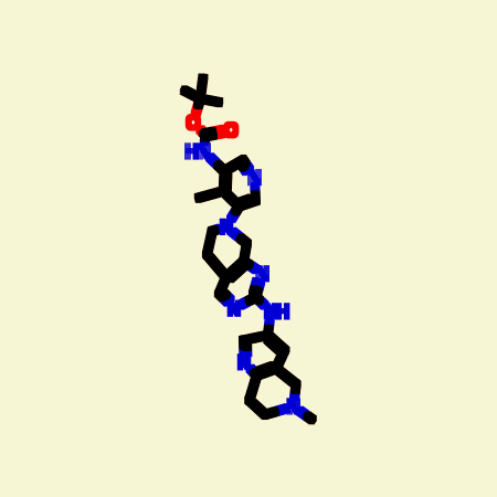 Cc1c(NC(=O)OC(C)(C)C)cncc1N1CCc2cnc(Nc3cnc4c(c3)CN(C)CC4)nc2C1